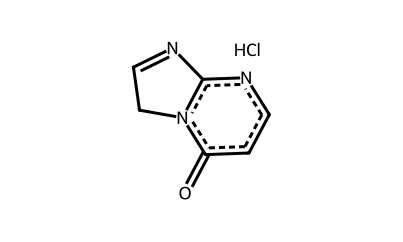 Cl.O=c1ccnc2n1CC=N2